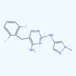 Cn1cc(Nc2ncc(Cc3c(F)cccc3F)c(N)n2)cn1